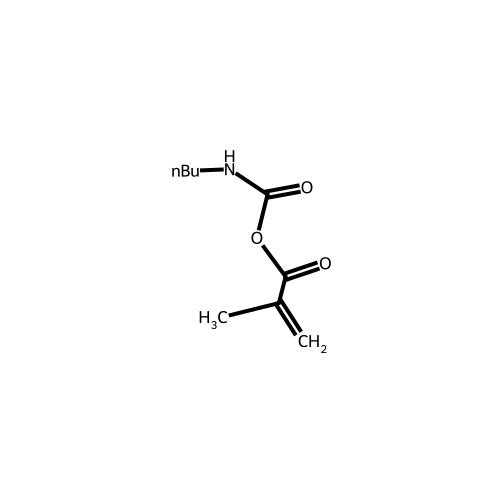 C=C(C)C(=O)OC(=O)NCCCC